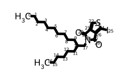 CCCCCCCCCCC(CCCCCC)CN1C(=O)c2csc(I)c2C1=O